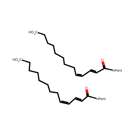 CCCCCC(=O)/C=C/C=C\CCCCCCCC(=O)O.CCCCCC(=O)/C=C/C=C\CCCCCCCC(=O)O